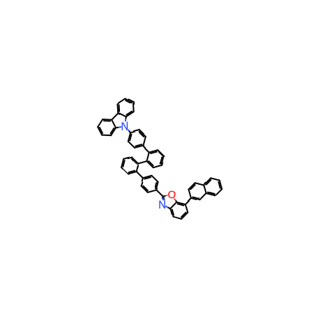 c1ccc(-c2ccccc2-c2ccc(-n3c4ccccc4c4ccccc43)cc2)c(-c2ccc(-c3nc4cccc(-c5ccc6ccccc6c5)c4o3)cc2)c1